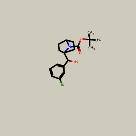 CC(C)(C)OC(=O)N1C2CCC1(C(O)c1cccc(Br)c1)CC2